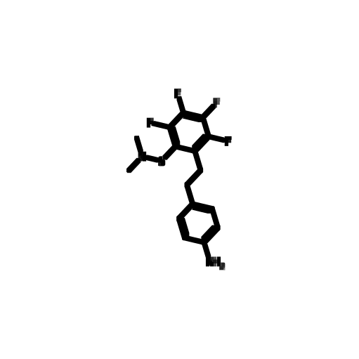 CN(C)Sc1c(F)c(F)c(F)c(F)c1CCc1ccc(N)cc1